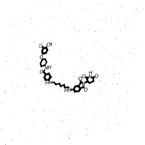 N#Cc1ccc(OC2CCC(NC(=O)c3ccc(NCCCCCCCNc4ccc5c(c4)C(=O)N(C4CCC(=O)NC4=O)C5=O)cc3)CC2)cc1Cl